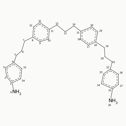 Nc1ccc(CCCc2ccc(CCCc3ccc(CCCc4ccc(N)cc4)cc3)cc2)cc1